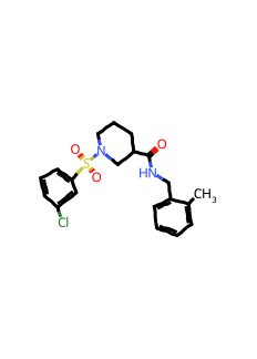 Cc1ccccc1CNC(=O)C1CCCN(S(=O)(=O)c2cccc(Cl)c2)C1